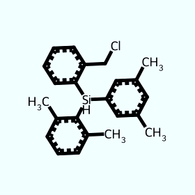 Cc1cc(C)cc([SiH](c2ccccc2CCl)c2c(C)cccc2C)c1